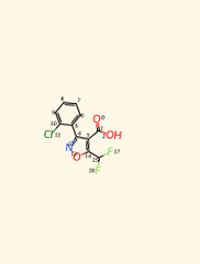 O=C(O)c1c(-c2ccccc2Cl)noc1C(F)F